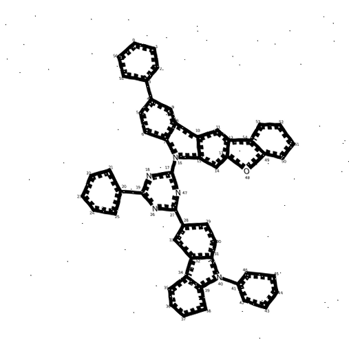 c1ccc(-c2ccc3c(c2)c2cc4c(cc2n3-c2nc(-c3ccccc3)nc(-c3ccc5c(c3)c3ccccc3n5-c3ccccc3)n2)oc2ccccc24)cc1